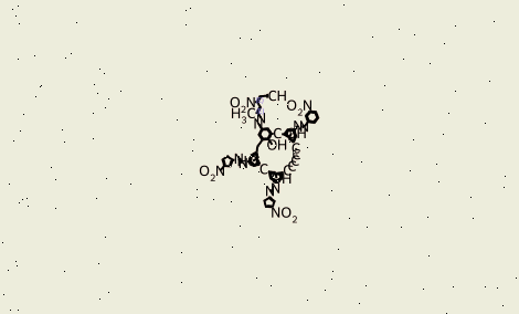 C#C/C=C(\C=C(/C)N=Nc1cc2c(O)c(c1)Cc1cc(N=NC3=CC([N+](=O)[O-])=CC3)cc(c1O)Cc1cc(N=NC3=CC([N+](=O)[O-])=CC3)cc(c1O)CCCCCc1cc(N=Nc3cccc([N+](=O)[O-])c3)cc(c1O)C2)[N+](=O)[O-]